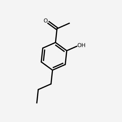 CCCc1ccc(C(C)=O)c(O)c1